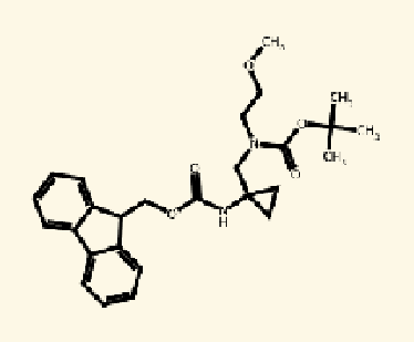 COCCN(CC1(NC(=O)OCC2c3ccccc3-c3ccccc32)CC1)C(=O)OC(C)(C)C